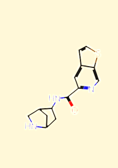 O=C(NC1CC2CC1CN2)c1cc2ccsc2cn1